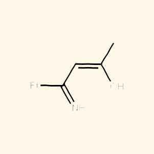 CCC(=N)/C=C(/C)O